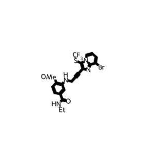 CCNC(=O)c1ccc(OC)c(NCC#Cc2nc3c(Br)cccn3c2SC(F)(F)F)c1